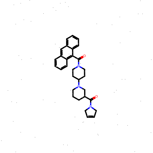 O=C(c1c2ccccc2cc2ccccc12)N1CCC(N2CCCC(C(=O)N3CC=CC3)C2)CC1